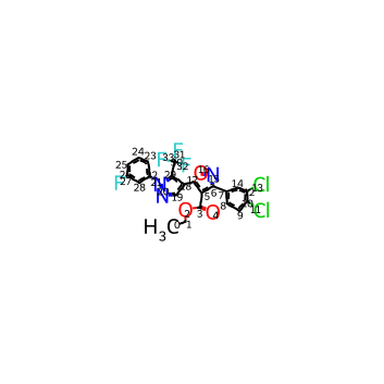 CCOC(=O)c1c(-c2ccc(Cl)c(Cl)c2)noc1-c1cnn(-c2cccc(F)c2)c1C(F)(F)F